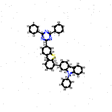 c1ccc(-c2nc(-c3ccccc3)nc(-c3ccc4c(c3)sc3c(-c5ccc6c7ccccc7n(-c7ccccc7)c6c5)cccc34)n2)cc1